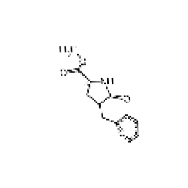 COC(=O)[C@@H]1CC(Cc2ccccc2)C(=O)N1